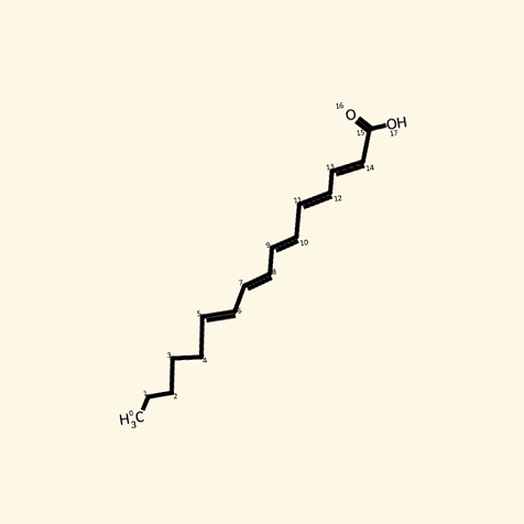 CCCCCC=CC=CC=CC=CC=CC(=O)O